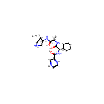 CC(C)(C)C(NC(=O)C(NC(=O)c1cnccn1)C1CCCCC1)C(=O)N[C@H]1CNC[C@H]1C(=O)O